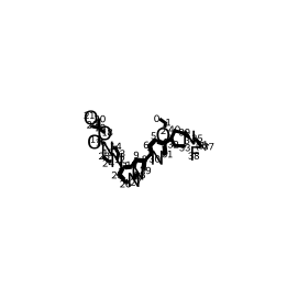 CCOC1(c2ccc(-c3cc4c(N5CCN(C(=O)OC6COC6)CC5)ccnn4c3)nc2)CCN(C[C@H](C)F)CC1